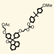 COc1ccc(C(C)(C)c2ccc(OC(=O)OCCOc3ccc(C4(c5ccc(OCCOC(C)=O)cc5)C(=O)c5cccc6cccc4c56)cc3)cc2)cc1